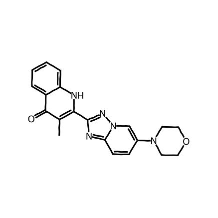 Cc1c(-c2nc3ccc(N4CCOCC4)cn3n2)[nH]c2ccccc2c1=O